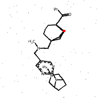 CC(C)C(=O)C12CCC(CN(C)Cc3cnc(N4C5CCC4CN(C(C)C)C5)nc3)(CC1)CC2